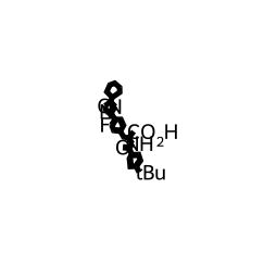 CC(C)(C)c1ccc(C(=O)NC(Cc2ccc(-c3noc(C4CCCCC4)n3)c(F)c2)C(=O)O)cc1